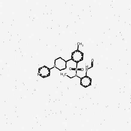 CCN(c1ccccc1NC=O)S(=O)(=O)c1ccc(C)cc1C1CCN(c2ccncc2)CC1